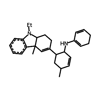 CCN1c2ccccc2C2(C)C=C(C3CC(C)C=CC3NC3=CCCC=C3)CCC12